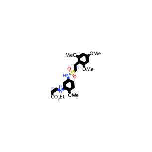 CCOC(=O)/C=C\Nc1cc(NS(=O)(=O)/C=C/c2c(OC)cc(OC)cc2OC)ccc1OC